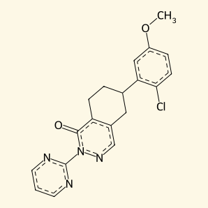 COc1ccc(Cl)c(C2CCc3c(cnn(-c4ncccn4)c3=O)C2)c1